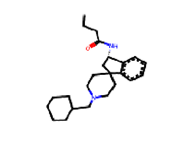 CCCC(=O)N[C@H]1CC2(CCN(CC3CCCCC3)CC2)c2ccccc21